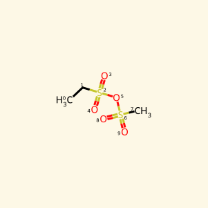 CCS(=O)(=O)OS(C)(=O)=O